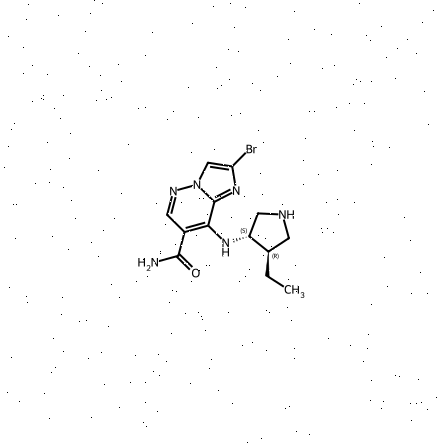 CC[C@@H]1CNC[C@H]1Nc1c(C(N)=O)cnn2cc(Br)nc12